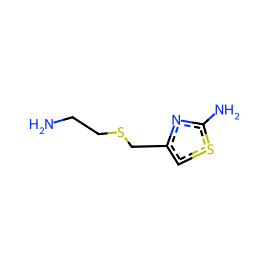 NCCSCc1csc(N)n1